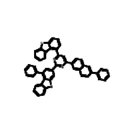 c1ccc(-c2ccc3cc(-c4cc(-c5cccc6oc7ccccc7c56)nc(-c5cc(-c6ccccc6)c6c(c5)sc5ccccc56)n4)ccc3c2)cc1